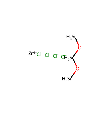 [Cl-].[Cl-].[Cl-].[Cl-].[SiH3]O[SiH2]O[SiH3].[Zr+4]